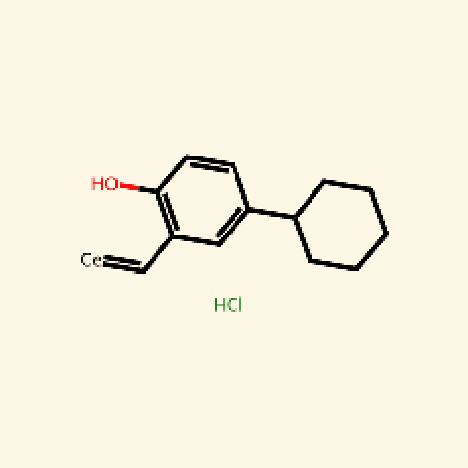 Cl.Oc1ccc(C2CCCCC2)cc1[CH]=[Ce]